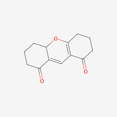 O=C1CCCC2OC3=C(C=C12)C(=O)CCC3